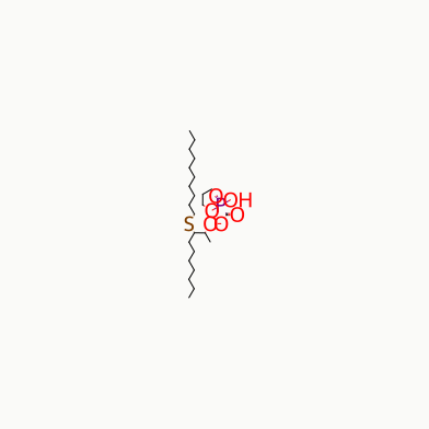 CCCCCCCCCCSC(CCCCCCC)C(C)OOC(=O)P(=O)(O)OCCC